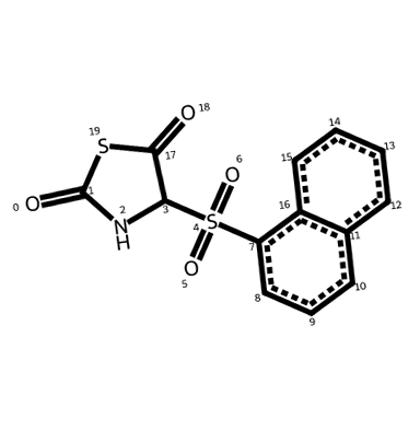 O=C1NC(S(=O)(=O)c2cccc3ccccc23)C(=O)S1